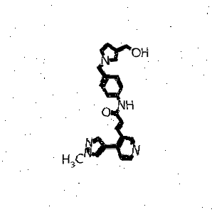 Cn1cc(-c2ccncc2C=CC(=O)Nc2ccc(CN3CCC(CO)C3)cc2)cn1